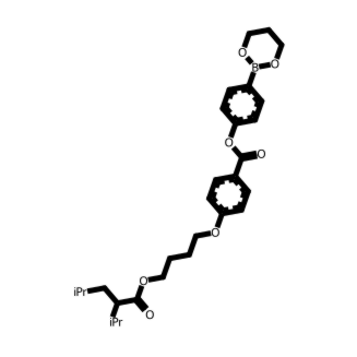 CC(C)CC(C(=O)OCCCCOc1ccc(C(=O)Oc2ccc(B3OCCCO3)cc2)cc1)C(C)C